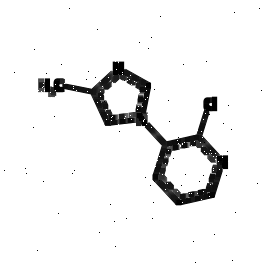 Cc1cn(-c2cccnc2Cl)cn1